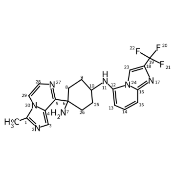 Cc1ncc2c(C3(N)CCC(Nc4cccc5nc(C(F)(F)F)cn45)CC3)nccn12